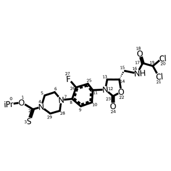 CC(C)OC(=S)N1CCN(c2ccc(N3C[C@H](CNC(=O)C(Cl)Cl)OC3=O)cc2F)CC1